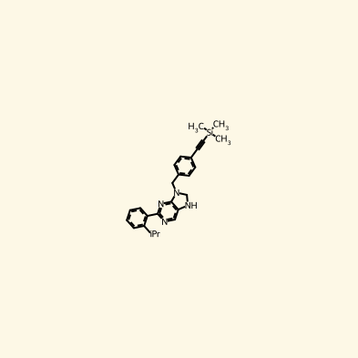 CC(C)c1ccccc1-c1ncc2c(n1)N(Cc1ccc(C#C[Si](C)(C)C)cc1)CN2